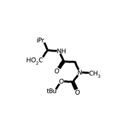 CC(C)C(NC(=O)CN(C)C(=O)OC(C)(C)C)C(=O)O